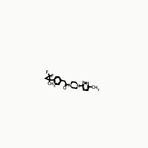 Cc1ccc(N2CCN(C(=O)Cc3ccc(C4(C)CC4(F)F)cc3)CC2)nn1